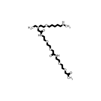 CCN(CCOCCCCCNC)CC(=O)NCCOCCOCC(=O)NCCOCCOCC(C)=O